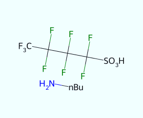 CCCCN.O=S(=O)(O)C(F)(F)C(F)(F)C(F)(F)C(F)(F)F